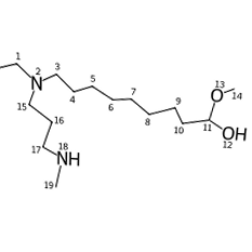 CCN(CCCCCCCCC(O)OC)CCCNC